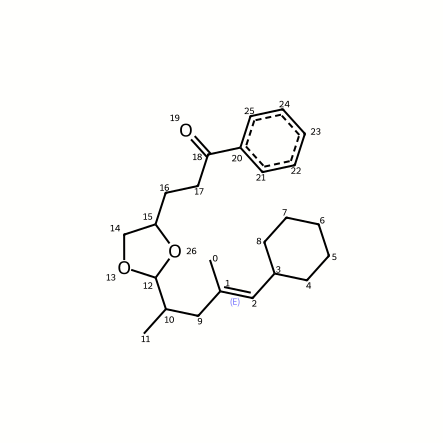 C/C(=C\C1CCCCC1)CC(C)C1OCC(CCC(=O)c2ccccc2)O1